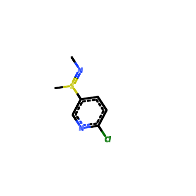 C/N=S(\C)c1ccc(Cl)nc1